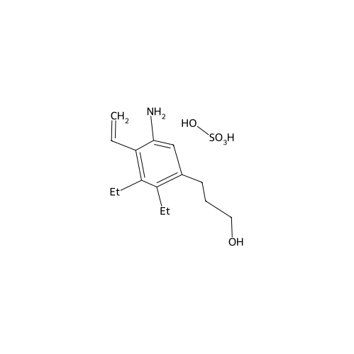 C=Cc1c(N)cc(CCCO)c(CC)c1CC.O=S(=O)(O)O